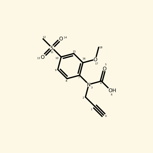 C#CCN(C(=O)O)c1ccc(S(C)(=O)=O)cc1OC